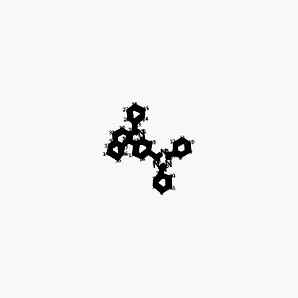 c1ccc(-c2nc(-c3ccccc3)nc(-c3ccc4c(c3)nc(-c3ccccc3)c3ccc5ccccc5c34)n2)cc1